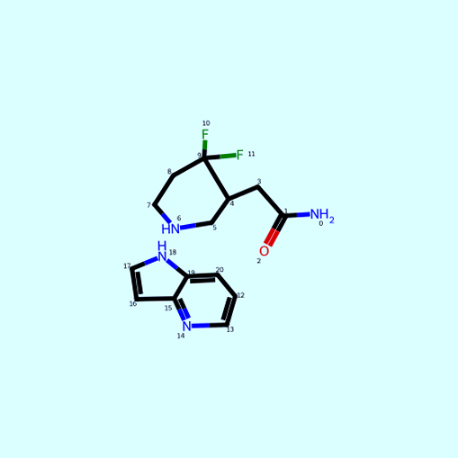 NC(=O)CC1CNCCC1(F)F.c1cnc2cc[nH]c2c1